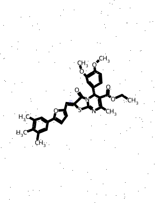 CCOC(=O)C1=C(C)N=c2s/c(=C\c3ccc(-c4cc(C)c(C)c(C)c4)o3)c(=O)n2C1c1ccc(OC)c(OC)c1